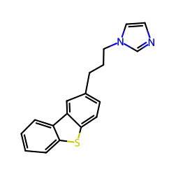 c1ccc2c(c1)sc1ccc(CCCn3ccnc3)cc12